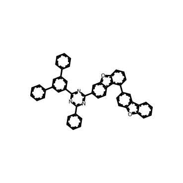 c1ccc(-c2cc(-c3ccccc3)cc(-c3nc(-c4ccccc4)nc(-c4ccc5c(c4)oc4cccc(-c6ccc7oc8ccccc8c7c6)c45)n3)c2)cc1